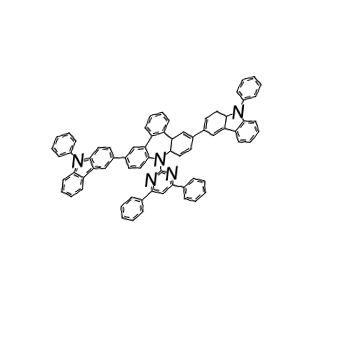 C1=CC2C(C=C1C1=CCC3C(=C1)c1ccccc1N3c1ccccc1)c1ccccc1-c1cc(-c3ccc4c(c3)c3ccccc3n4-c3ccccc3)ccc1N2c1nc(-c2ccccc2)cc(-c2ccccc2)n1